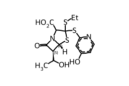 CCSC1(Sc2cc(O)ccn2)S[C@@H]2[C@@H](C(C)O)C(=O)N2C1C(=O)O